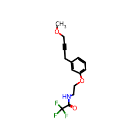 COCC#CCc1cccc(OCCNC(=O)C(F)(F)F)c1